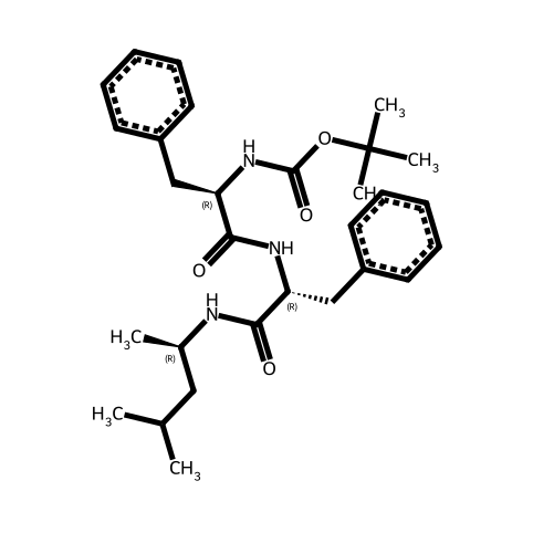 CC(C)C[C@@H](C)NC(=O)[C@@H](Cc1ccccc1)NC(=O)[C@@H](Cc1ccccc1)NC(=O)OC(C)(C)C